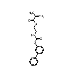 C=C(C)C(=O)OCCNC(=O)Oc1cccc(-c2ccccc2)c1